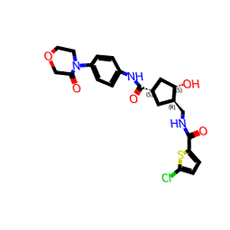 O=C(NC[C@H]1C[C@H](C(=O)Nc2ccc(N3CCOCC3=O)cc2)C[C@@H]1O)c1ccc(Cl)s1